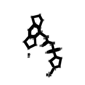 CN1CCC(S(=O)(=O)NC(=O)Nc2c3c(cc4c2CCC4)CCC3)C1.[K]